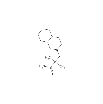 CC(C)(CN1CCC2CCCCC2C1)C(N)=O